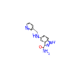 NC(=O)c1n[nH]c2ccc(NCc3cccnc3)cc12